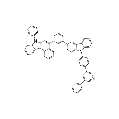 c1ccc(-c2cncc(-c3ccc(-n4c5ccccc5c5cc(-c6cccc(-c7cc8c(c9ccccc79)c7ccccc7n8-c7ccccc7)c6)ccc54)cc3)c2)cc1